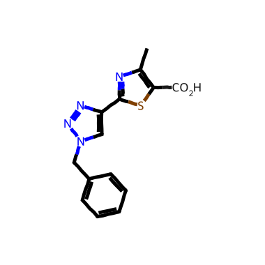 Cc1nc(-c2cn(Cc3ccccc3)nn2)sc1C(=O)O